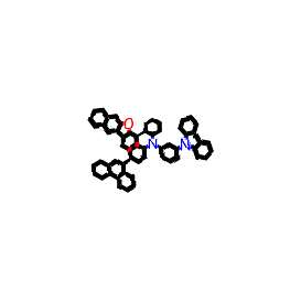 c1cc(N(c2ccc(-c3cc4ccccc4c4ccccc34)cc2)c2ccccc2-c2cccc3c2oc2cc4ccccc4cc23)cc(-n2c3ccccc3c3ccccc32)c1